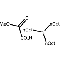 CCCCCCCCN(CCCCCCCC)CCCCCCCC.COC(=O)C(=O)O